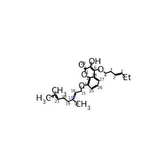 CCC=CCCOc1c(O)c(=O)oc2c(OC/C=C(\C)CCC=C(C)C)cccc12